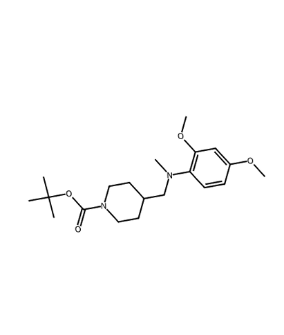 COc1ccc(N(C)CC2CCN(C(=O)OC(C)(C)C)CC2)c(OC)c1